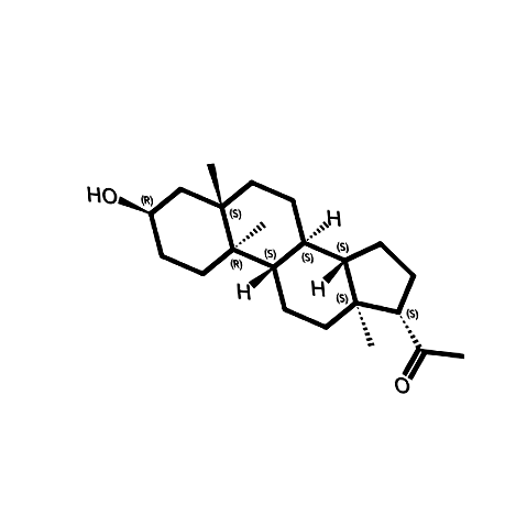 CC(=O)[C@H]1CC[C@H]2[C@@H]3CC[C@@]4(C)C[C@H](O)CC[C@]4(C)[C@H]3CC[C@]12C